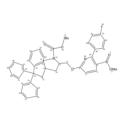 COC(=O)c1ccc(OCC2CC(SC(c3ccccc3)(c3ccccc3)c3ccccc3)CN2C(=O)OC(C)(C)C)nc1-c1ccc(F)cc1